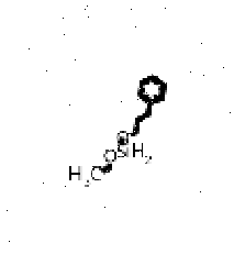 CCO[SiH2]OCCCc1ccccc1